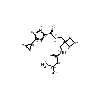 C[C@@H](N)CC(=O)NCC1(CNC(=O)c2cc(C3CC3)on2)CCC1